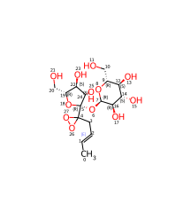 C/C=C/CC1([C@@]2(O[C@H]3O[C@H](CO)[C@@H](O)[C@H](O)[C@H]3O)O[C@H](CO)[C@@H](O)[C@@H]2O)OO1